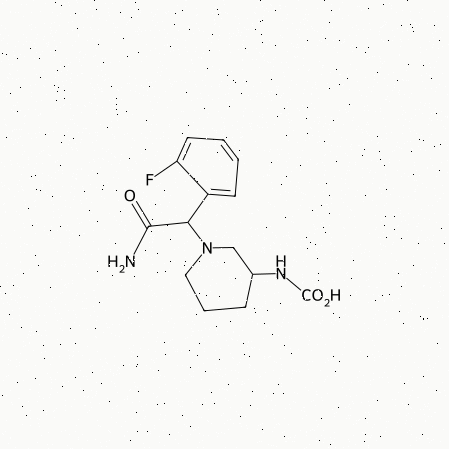 NC(=O)C(c1ccccc1F)N1CCCC(NC(=O)O)C1